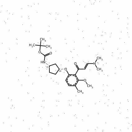 COc1c(C)ccc(O[C@@H]2CC[C@H](NC(=O)OC(C)(C)C)C2)c1C(=O)C=CN(C)C